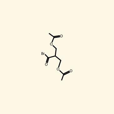 CC(=O)OCC(COC(C)=O)C(=O)Br